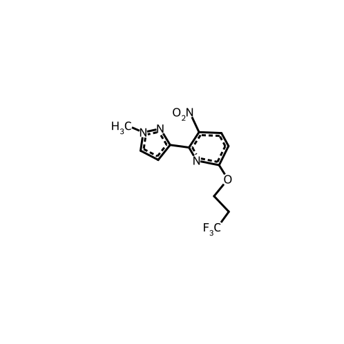 Cn1ccc(-c2nc(OCCC(F)(F)F)ccc2[N+](=O)[O-])n1